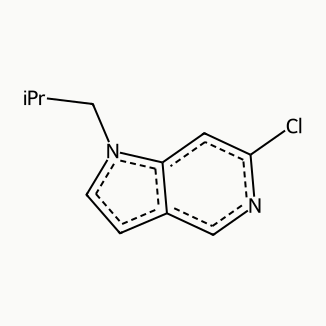 CC(C)Cn1ccc2cnc(Cl)cc21